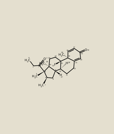 CCC(=O)[C@@]1(C)[C@H](C)C[C@H]2[C@@H]3CCC4=CC(=O)C=C[C@]4(C)[C@@]3(F)CC[C@@]21C